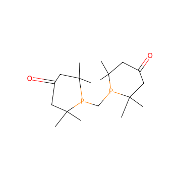 CC1(C)CC(=O)CC(C)(C)P1CP1C(C)(C)CC(=O)CC1(C)C